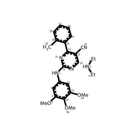 CCNCC.COc1cc(Nc2ncc(C#N)c(-c3ccccc3C)n2)cc(OC)c1OC